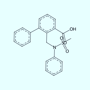 CS(=O)(=O)N(Cc1c(C(=O)O)cccc1-c1ccccc1)c1ccccc1